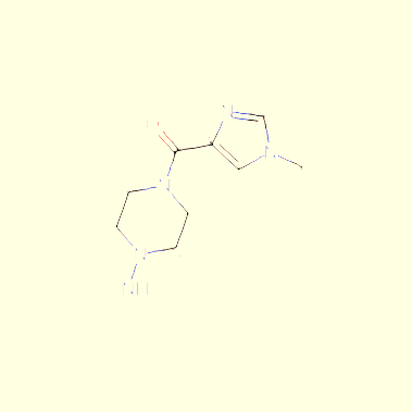 Cn1cnc(C(=O)N2CCN(N)CC2)c1